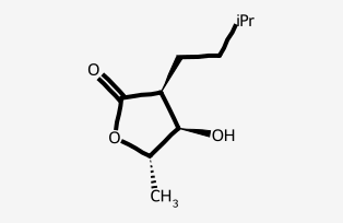 CC(C)CC[C@@H]1C(=O)O[C@@H](C)[C@@H]1O